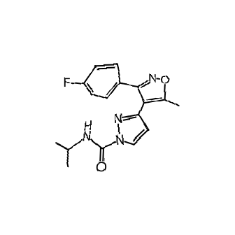 Cc1onc(-c2ccc(F)cc2)c1-c1ccn(C(=O)NC(C)C)n1